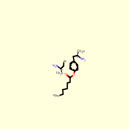 CC(C)C[C@H](N)C(=O)O.CCCCCCCCCCCCCCCC(=O)Oc1ccc(C[C@H](N)C(=O)O)cc1